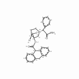 NC(=O)C(c1cnccn1)[N+]12CCC(CC1)[C@@H](OC(=O)C1c3ccccc3Cc3ccccc31)C2